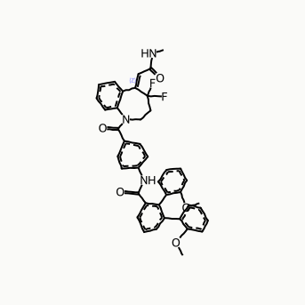 CNC(=O)/C=C1/c2ccccc2N(C(=O)c2ccc(NC(=O)c3cccc(-c4ccccc4OC)c3-c3ccccc3OC)cc2)CCC1(F)F